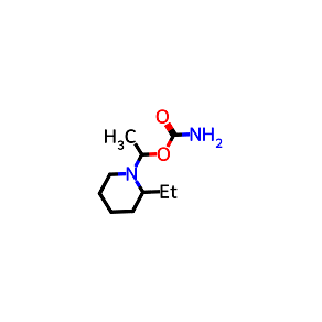 CCC1CCCCN1C(C)OC(N)=O